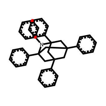 c1ccc(N2C3(c4ccccc4)CC4(c5ccccc5)CC(c5ccccc5)(C3)CC2(c2ccccc2)C4)cc1